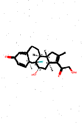 CC1=C(C(=O)CO)[C@@]2(C)C[C@H](O)[C@@]3(F)[C@@H](CCC4=CC(=O)C=C[C@@]43C)[C@@H]2C1